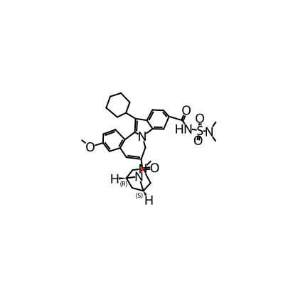 COc1ccc2c(c1)C=C(C(=O)N1[C@@H]3C[C@H]1CN(C)C3)Cn1c-2c(C2CCCCC2)c2ccc(C(=O)NS(=O)(=O)N(C)C)cc21